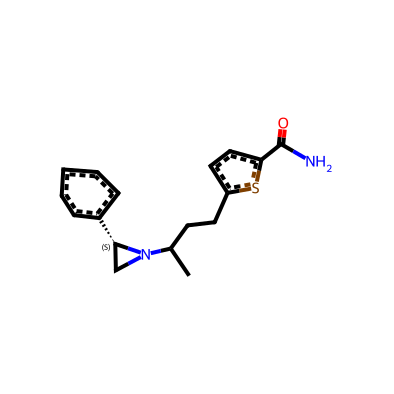 CC(CCc1ccc(C(N)=O)s1)N1C[C@@H]1c1ccccc1